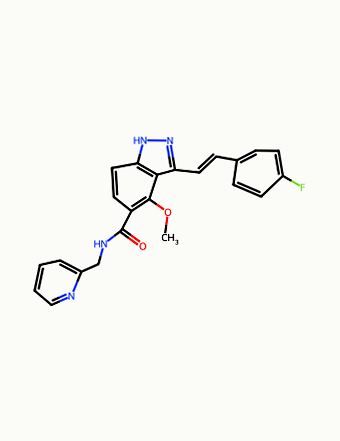 COc1c(C(=O)NCc2ccccn2)ccc2[nH]nc(/C=C/c3ccc(F)cc3)c12